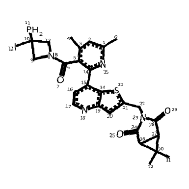 Cc1cc(C)c(C(=O)N2CC(P)(I)C2)c(-c2ccnc3cc(CN4C(=O)C5C(C4=O)C5(C)C)sc23)n1